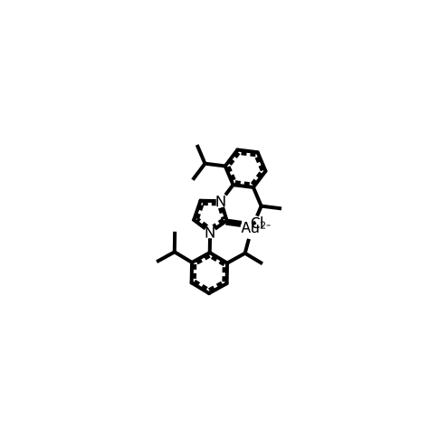 CC(C)c1cccc(C(C)C)c1-n1ccn(-c2c(C(C)C)cccc2C(C)C)[c]1=[Au-2][Cl]